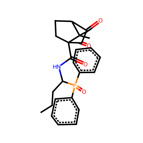 CCCC(NC(=O)C12CCC(C(=O)C1=O)C2(C)C)P(=O)(c1ccccc1)c1ccccc1